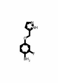 Bc1ccc(OCc2ccn[nH]2)cc1F